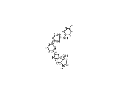 Cc1ccc(Nc2nccc(-c3cccc(-c4cc(C5(O)CCN(C)C5=O)on4)n3)n2)cn1